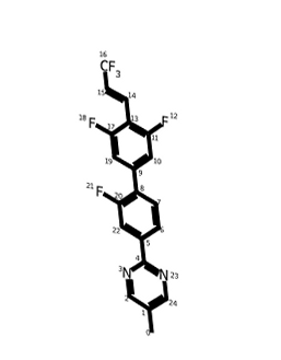 Cc1cnc(-c2ccc(-c3cc(F)c(/C=C/C(F)(F)F)c(F)c3)c(F)c2)nc1